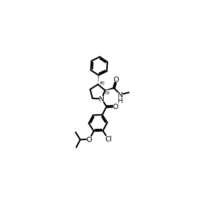 CNC(=O)[C@@H]1[C@@H](c2ccccc2)CCN1C(=O)c1ccc(OC(C)C)c(Cl)c1